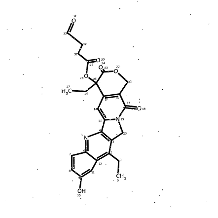 CCc1c2c(nc3ccc(O)cc13)-c1cc3c(c(=O)n1C2)COC(=O)C3(CC)OC(=O)CCC=O